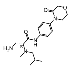 CC(C)CN(C)[C@H](CN)C(=O)Nc1ccc(N2CCOCC2=O)cc1